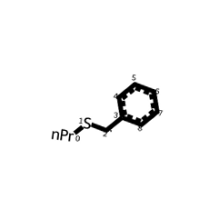 CCCS[CH]c1ccccc1